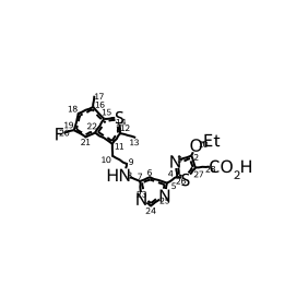 CCOc1nc(-c2cc(NCCc3c(C)sc4c(C)cc(F)cc34)ncn2)sc1C(=O)O